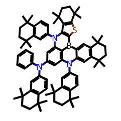 CC1(C)CCC(C)(C)c2cc(N(c3ccccc3)c3cc4c5c(c3)N(c3ccc6c(c3)C(C)(C)CCC6(C)C)c3c(sc6c3C(C)(C)CCC6(C)C)B5c3cc5c(cc3N4c3ccc4c(c3)C(C)(C)CCC4(C)C)C(C)(C)CCC5(C)C)ccc21